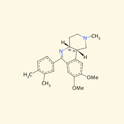 COc1cc2c(cc1OC)[C@H]1CN(C)CC[C@H]1N=C2c1ccc(C)c(C)c1